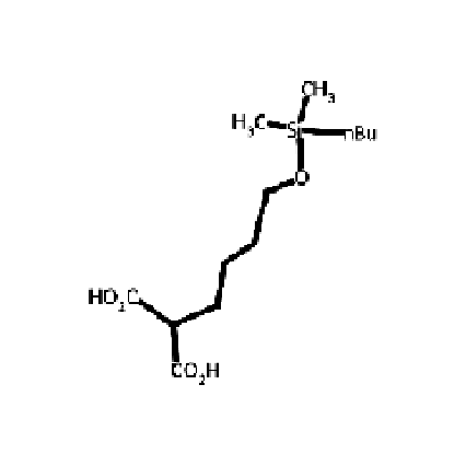 CCCC[Si](C)(C)OCCCCC(C(=O)O)C(=O)O